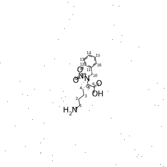 NCCCC[C@@H](C(=O)O)N(Cc1ccccc1)[N+](=O)[O-]